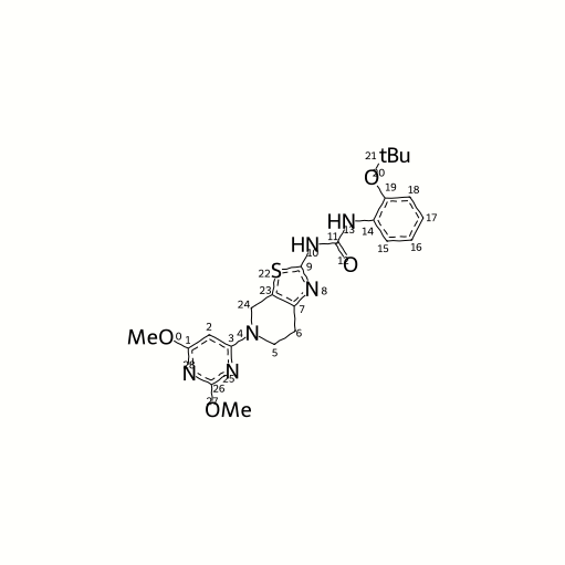 COc1cc(N2CCc3nc(NC(=O)Nc4ccccc4OC(C)(C)C)sc3C2)nc(OC)n1